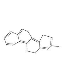 [CH2]C1=CCC2=C3CC=c4ccccc4=C3CCC2=C1